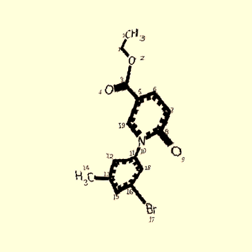 CCOC(=O)c1ccc(=O)n(-c2cc(C)cc(Br)c2)c1